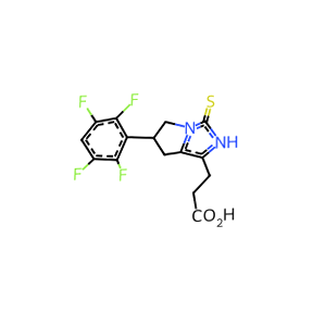 O=C(O)CCc1[nH]c(=S)n2c1CC(c1c(F)c(F)cc(F)c1F)C2